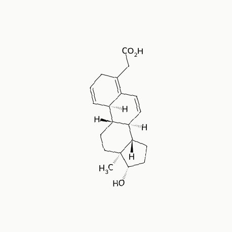 C[C@]12CC[C@H]3[C@@H](C=CC4=C(CC(=O)O)CC=C[C@@H]43)[C@@H]1CC[C@@H]2O